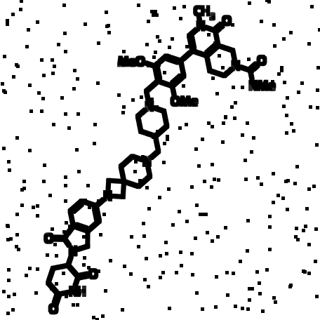 CNC(=O)N1CCc2c(-c3cc(OC)c(CN4CCC(CN5CCC6(CC5)CN(c5ccc7c(c5)CN(C5CCC(=O)NC5=O)C7=O)C6)CC4)c(OC)c3)cn(C)c(=O)c2C1